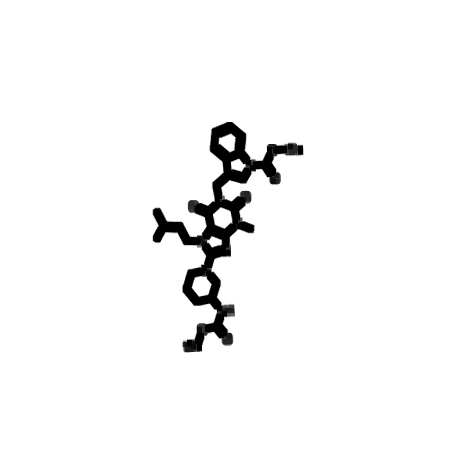 CC(C)=CCn1c(N2CCCC(NC(=O)OC(C)(C)C)C2)nc2c1c(=O)n(Cc1cn(C(=O)OC(C)(C)C)c3ccccc13)c(=O)n2C